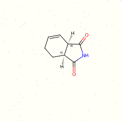 O=C1NC(=O)[C@@H]2C=CCC[C@H]12